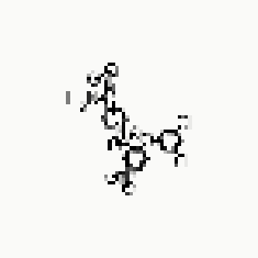 N/C(=N\[N+](=O)[O-])N1CCN(S(=O)(=O)c2cc([N+](=O)[O-])ccc2Oc2cc(Cl)cc(Cl)c2)CC1